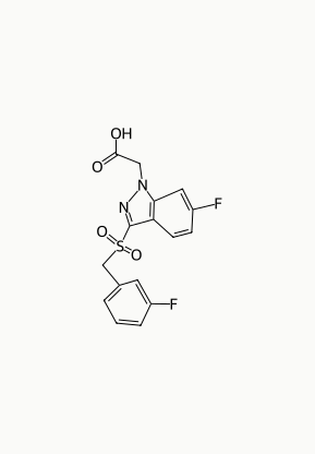 O=C(O)Cn1nc(S(=O)(=O)Cc2cccc(F)c2)c2ccc(F)cc21